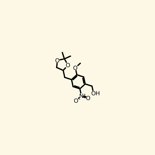 COc1cc(CO)c([N+](=O)[O-])cc1CC1COC(C)(C)O1